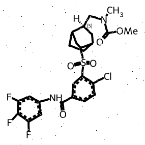 COC(=O)N(C)C[C@H]1CC2CCC1CC2S(=O)(=O)c1cc(C(=O)Nc2cc(F)c(F)c(F)c2)ccc1Cl